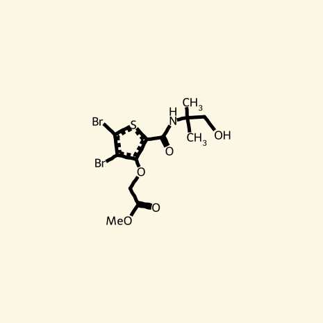 COC(=O)COc1c(C(=O)NC(C)(C)CO)sc(Br)c1Br